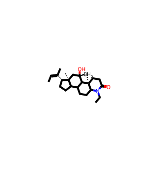 B[C@]1(O)C[C@@]2(C)C(CC[C@@H]2/C(C)=C\C)C2CCC3N(CC)C(=O)CC[C@]3(C)C21